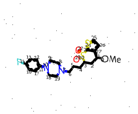 COC1CC(CCCN2CCN(c3ccc(F)cc3)CC2)S(=O)(=O)c2sccc21